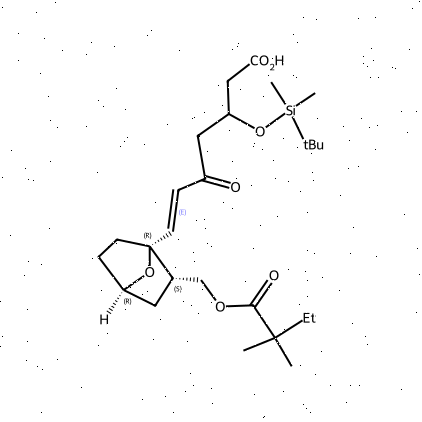 CCC(C)(C)C(=O)OC[C@@H]1C[C@H]2CC[C@]1(/C=C/C(=O)CC(CC(=O)O)O[Si](C)(C)C(C)(C)C)O2